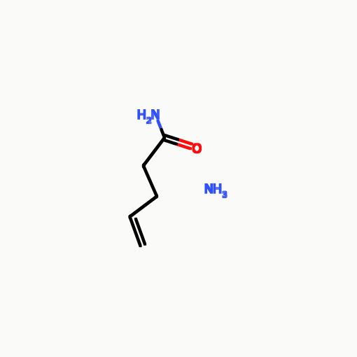 C=CCCC(N)=O.N